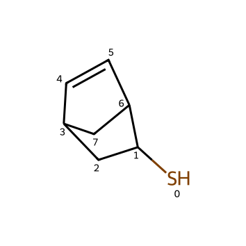 SC1CC2C=CC1C2